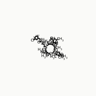 CC[C@H]1OC(=O)[C@H](C)[C@@H](O[C@@H](CCOC)O[C@@H](C)[C@@H](C)O)[C@H](C)[C@@H](O[C@@H]2O[C@H](C)C[C@H](N(C)C)[C@H]2O)[C@](C)(O)C[C@@H](C)CN(CCCNC(=O)Nc2cccc(Cl)c2)[C@H](C)[C@@H](O)[C@]1(C)O